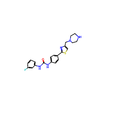 O=C(Nc1ccc(-c2nc(CN3CCNCC3)cs2)cc1)Nc1cccc(F)c1